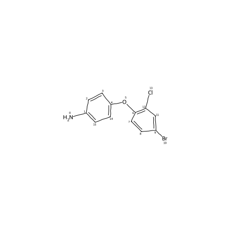 Nc1ccc(Oc2ccc(Br)cc2Cl)cc1